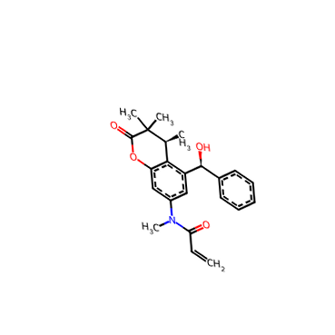 C=CC(=O)N(C)c1cc2c(c([C@@H](O)c3ccccc3)c1)[C@H](C)C(C)(C)C(=O)O2